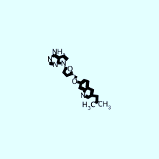 CC(C)Cc1cnc2cc(OC[C@@H]3CC[C@H](n4ccc5c(N)ncnc54)O3)ccc2c1